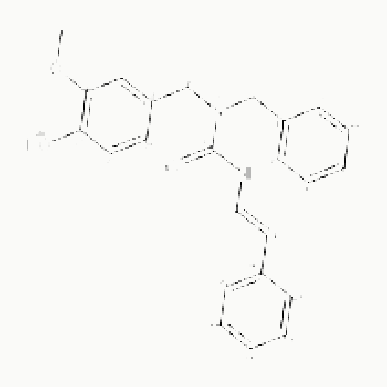 COc1cc(CN(Cc2ccccc2)C(=S)NC=Cc2ccccc2)ccc1O